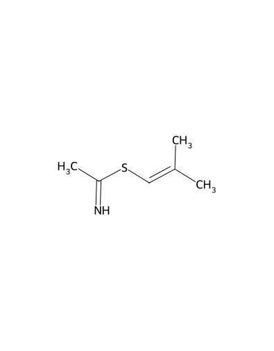 CC(=N)SC=C(C)C